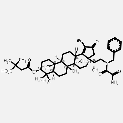 CC(C)C1=C2[C@H]3CC[C@@H]4[C@@]5(C)CC[C@H](OC(=O)CC(C)(C)C(=O)O)C(C)(C)[C@@H]5CC[C@@]4(C)[C@]3(C)CC[C@@]2([C@@H](O)CN(Cc2ccccc2)C(=O)C(N)=O)CC1=O